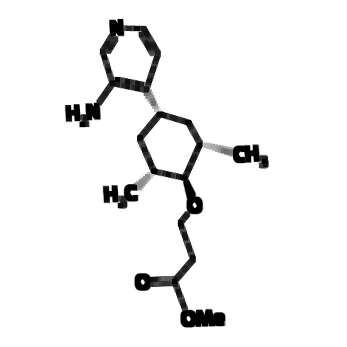 COC(=O)CCO[C@H]1[C@H](C)C[C@H](c2ccncc2N)C[C@@H]1C